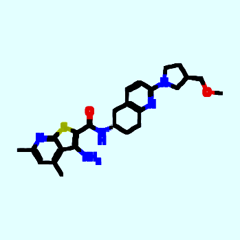 COC[C@@H]1CCN(c2ccc3c(n2)CC[C@H](NC(=O)c2sc4nc(C)cc(C)c4c2N)C3)C1